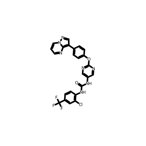 O=C(Nc1cnc(Oc2ccc(-c3cnn4cccnc34)cc2)nc1)Nc1ccc(C(F)(F)F)cc1Cl